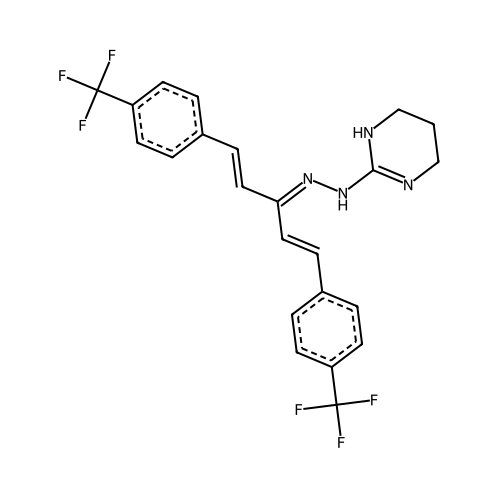 FC(F)(F)c1ccc(C=CC(C=Cc2ccc(C(F)(F)F)cc2)=NNC2=NCCCN2)cc1